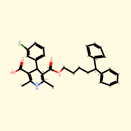 CC1=C(C(=O)O)C(c2cccc(Cl)c2)C(C(=O)OCCCCC(c2ccccc2)c2ccccc2)=C(C)N1